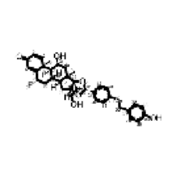 C[C@]12C=CC(=O)C=C1[C@@H](F)C[C@H]1[C@@H]3C[C@H]4O[C@@H](c5ccc(SCc6ccc(O)cc6)cc5)O[C@@]4(C(=O)CO)[C@@]3(C)C[C@H](O)[C@@]12F